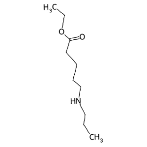 CCCNCCCCC(=O)OCC